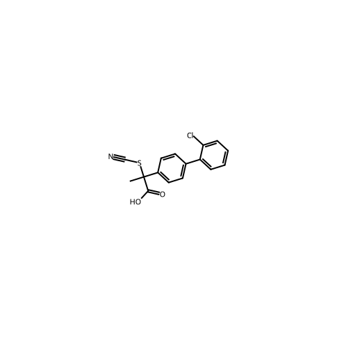 CC(SC#N)(C(=O)O)c1ccc(-c2ccccc2Cl)cc1